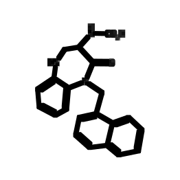 O=C(O)NC1CNc2ccccc2N(Cc2cccc3ccccc23)C1=O